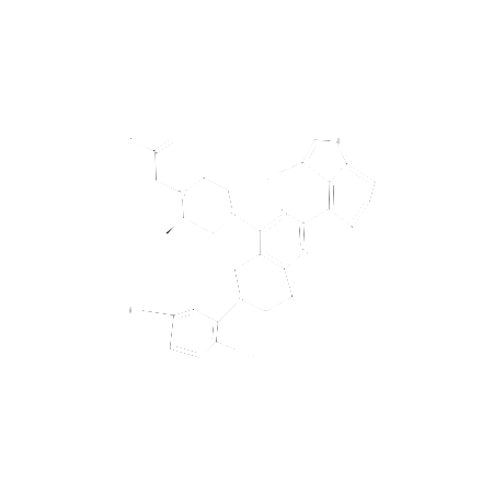 Cc1ccc(C(C)C)cc1N1CCc2nc(-c3cccc4[nH]cc(C)c34)nc(N3CCN(CC(N)=O)[C@H](C)C3)c2C1